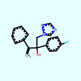 C=C(c1ccccc1)C(O)(Cn1cncn1)c1ccc(F)cc1